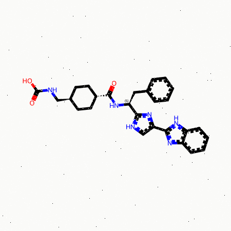 O=C(O)NC[C@H]1CC[C@H](C(=O)N[C@@H](Cc2ccccc2)c2nc(-c3nc4ccccc4[nH]3)c[nH]2)CC1